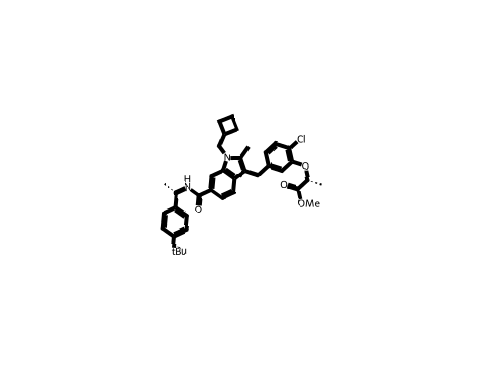 COC(=O)[C@@H](C)Oc1cc(Cc2c(C)n(CC3CCC3)c3cc(C(=O)N[C@@H](C)c4ccc(C(C)(C)C)cc4)ccc23)ccc1Cl